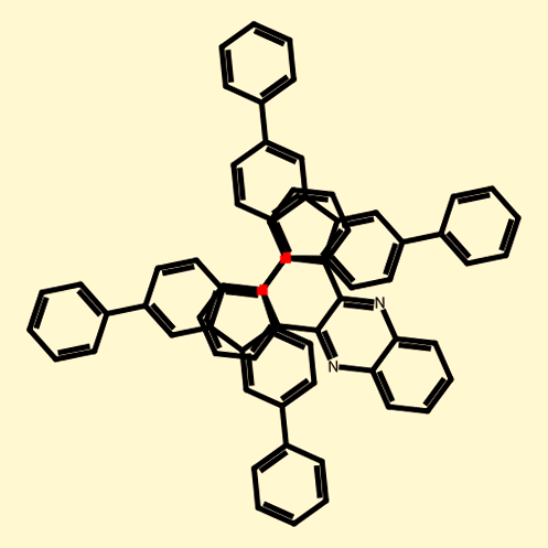 c1ccc(-c2ccc3c(c2)-c2cc(-c4ccccc4)ccc2C3c2ccccc2-c2nc3ccccc3nc2-c2ccccc2C2c3ccc(-c4ccccc4)cc3-c3cc(-c4ccccc4)ccc32)cc1